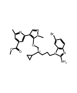 COC(=O)c1cc(C)nc(-c2cnn(C)c2OC[C@@H](CCCn2c(N)nc3ccc(Br)cc32)C2CC2)c1